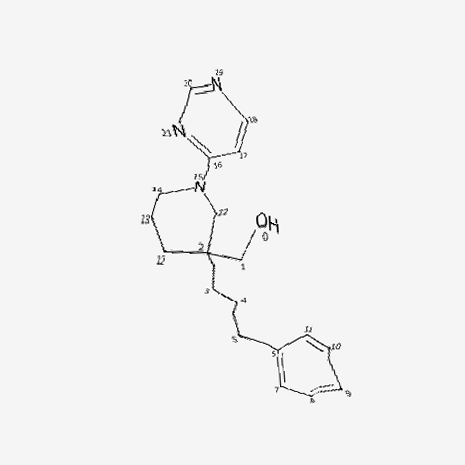 OCC1(CCCc2ccccc2)CCCN(c2ccncn2)C1